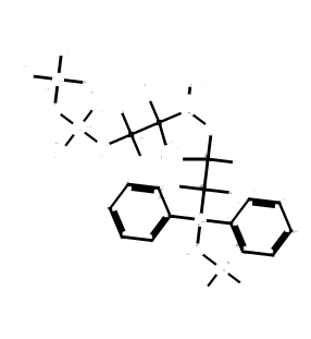 C[SiH](OC(C)(C)C(C)(C)[Si](O[Si](C)(C)C)(c1ccccc1)c1ccccc1)C(C)(C)C(C)(C)O[Si](C)(C)O[Si](C)(C)C